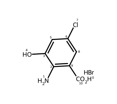 Br.Nc1c(O)cc(Cl)cc1C(=O)O